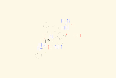 NC(=O)NCC#Cc1ccc2c(c1)[C@]1(C(=O)N2)[C@H](c2ccc(OCCO)cc2)N2[C@H](c3ccccc3)[C@H](c3ccccc3)OC(=O)[C@H]2[C@@H]1C(=O)Nc1nc2ccccc2s1